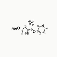 CO[C@H]1CN[C@H](COc2cccnc2)C1.Cl.Cl